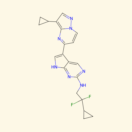 FC(F)(CNc1ncc2c(-c3ccn4ncc(C5CC5)c4n3)c[nH]c2n1)C1CC1